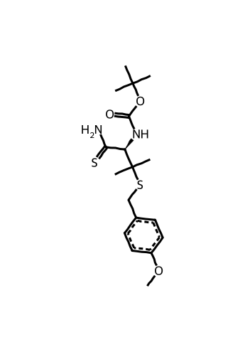 COc1ccc(CSC(C)(C)[C@H](NC(=O)OC(C)(C)C)C(N)=S)cc1